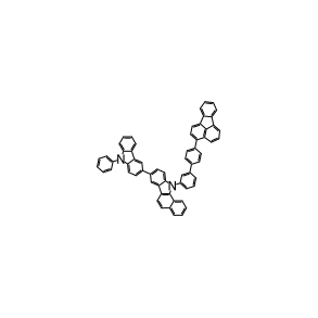 c1ccc(-n2c3ccccc3c3cc(-c4ccc5c(c4)c4ccc6ccccc6c4n5-c4cccc(-c5ccc(-c6ccc7c8c(cccc68)-c6ccccc6-7)cc5)c4)ccc32)cc1